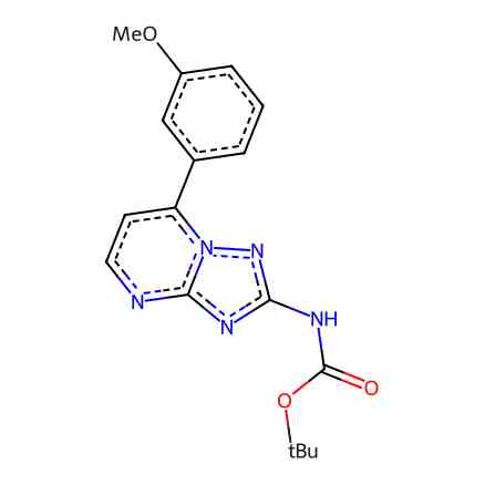 COc1cccc(-c2ccnc3nc(NC(=O)OC(C)(C)C)nn23)c1